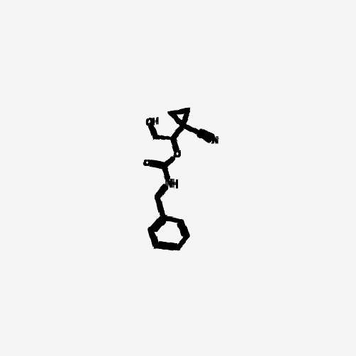 N#CC1([C@H](CO)OC(=O)NCc2ccccc2)CC1